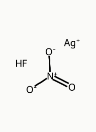 F.O=[N+]([O-])[O-].[Ag+]